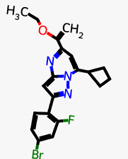 C=C(OCC)c1cc(C2CCC2)n2nc(-c3ccc(Br)cc3F)cc2n1